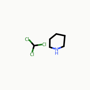 C1CCNCC1.ClC(Cl)Cl